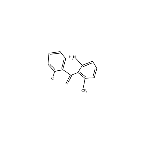 Nc1cccc(C(F)(F)F)c1C(=O)c1ccccc1Cl